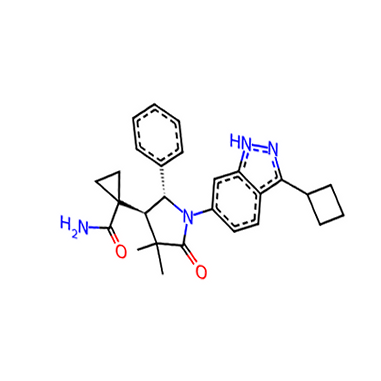 CC1(C)C(=O)N(c2ccc3c(C4CCC4)n[nH]c3c2)[C@@H](c2ccccc2)[C@@H]1C1(C(N)=O)CC1